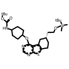 CC(C)(C)OC(=O)NC1CCC(Oc2ncnc3sc4c(c23)C[C@H](CCO[Si](C)(C)C(C)(C)C)CC4)CC1